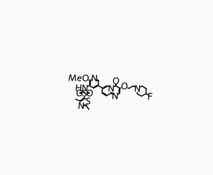 COc1ncc(-c2ccc3ncc(OCCN4CCC(F)CC4)c(=O)n3c2)cc1NS(=O)(=O)c1sc(C)nc1C